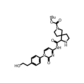 CC(C)(C)OC(=O)N1CCC2(CCNC2C(=O)Nc2ccn(-c3ccc(CCO)cc3)c(=O)n2)C1